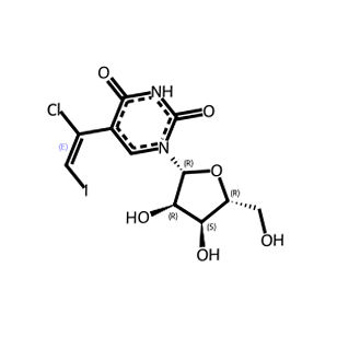 O=c1[nH]c(=O)n([C@@H]2O[C@H](CO)[C@@H](O)[C@H]2O)cc1/C(Cl)=C\I